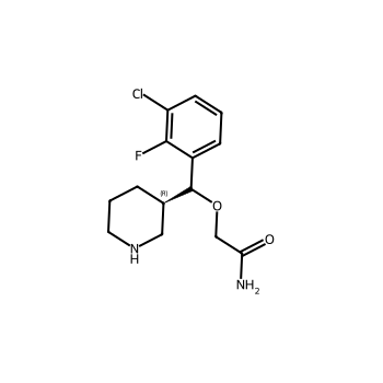 NC(=O)COC(c1cccc(Cl)c1F)[C@@H]1CCCNC1